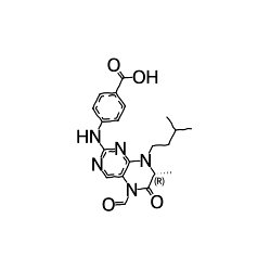 CC(C)CCN1c2nc(Nc3ccc(C(=O)O)cc3)ncc2N(C=O)C(=O)[C@H]1C